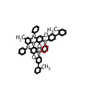 Cc1cc2c3c(c1)N(c1ccccc1)c1cc4c5c(c1B3c1c(cc3c6c1Oc1ccccc1B6c1ccc(-c6ccccc6C)cc1O3)N2c1ccccc1)Oc1ccccc1B5c1ccc(-c2ccccc2C)cc1O4